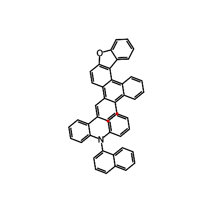 c1ccc(N(c2ccccc2-c2ccc3c4ccccc4c4c(ccc5oc6ccccc6c54)c3c2)c2cccc3ccccc23)cc1